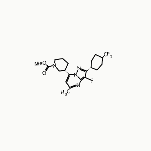 COC(=O)N1CCC[C@H](c2cc(C)nc3c(F)c([C@H]4CC[C@H](C(F)(F)F)CC4)nn23)C1